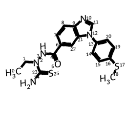 CCN(NC(=O)c1ccc2ncn(-c3ccc(SC)cc3)c2c1)C(N)=S